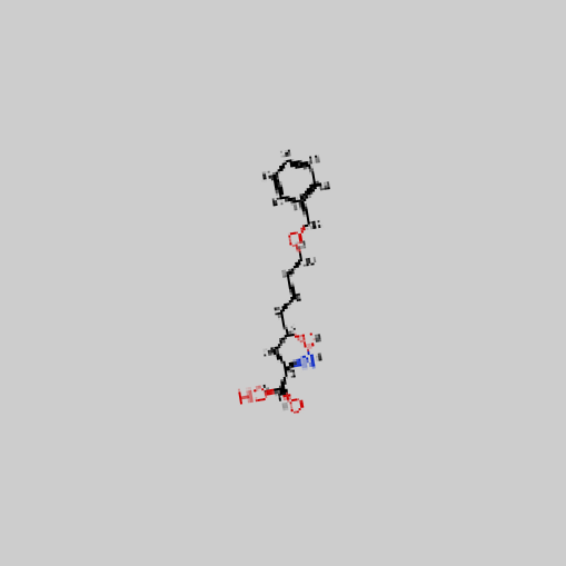 O=C(O)C1=NOC(CCCCOCc2ccccc2)C1